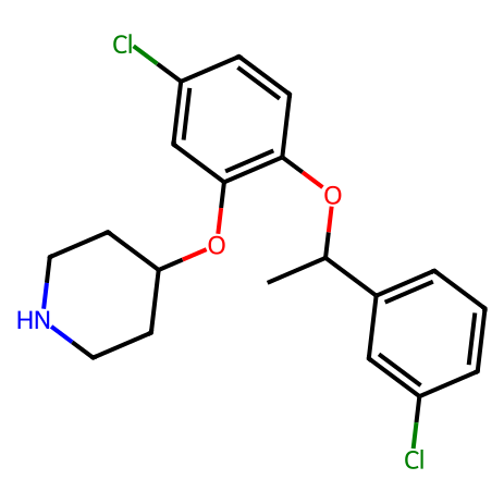 CC(Oc1ccc(Cl)cc1OC1CCNCC1)c1cccc(Cl)c1